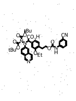 CCOc1cc(C(C(=O)O)N(c2ccc3cnccc3c2)N(C(=O)OC(C)(C)C)C(=O)OC(C)(C)C)ccc1CCOC(=O)Nc1cccc(C#N)c1